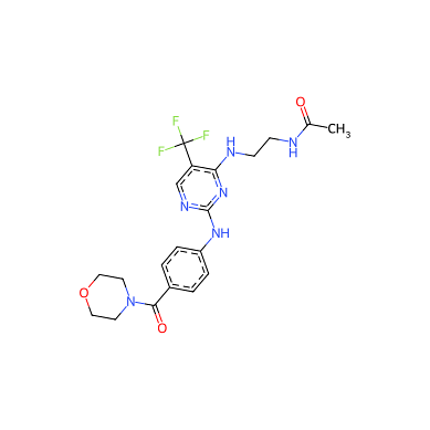 CC(=O)NCCNc1nc(Nc2ccc(C(=O)N3CCOCC3)cc2)ncc1C(F)(F)F